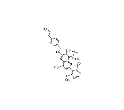 CCSc1ccc(CNc2nc3c(C)nc(-c4c(OC)ncnc4C4CC4)nc3n([C@@H](C)C(F)(F)F)c2=O)cn1